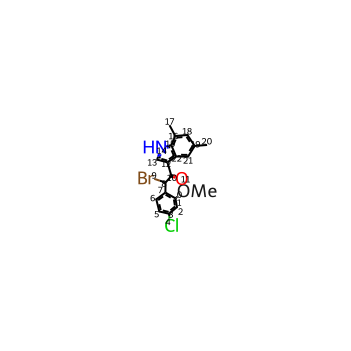 COc1cc(Cl)ccc1C(Br)C(=O)c1c[nH]c2c(C)cc(C)cc12